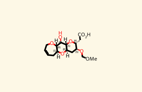 COCO[C@H]1C[C@H]2O[C@H]3CC=CCO[C@@H]3[C@@H](O)[C@@H]2O[C@@H]1CC(=O)O